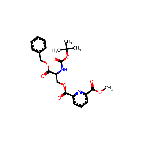 COC(=O)c1cccc(C(=O)OC[C@H](NC(=O)OC(C)(C)C)C(=O)OCc2ccccc2)n1